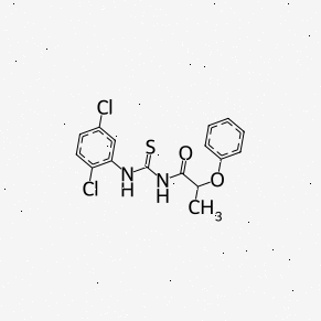 CC(Oc1ccccc1)C(=O)NC(=S)Nc1cc(Cl)ccc1Cl